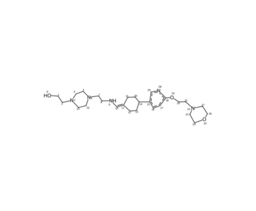 OCCN1CCN(CCNC=C2CCC(c3ccc(OCCN4CCOCC4)nc3)CC2)CC1